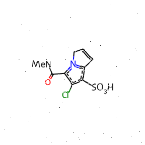 CNC(=O)c1c(Cl)c(S(=O)(=O)O)c2n1CC=C2